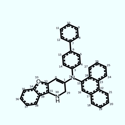 C1=C(N(c2ccc(-c3ccccc3)cc2)c2cc3ccccc3c3ccccc23)CNc2c1oc1ccccc21